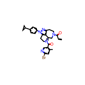 C=CC(=O)N1CCc2nn(-c3ccc(C4CC4)cc3)c3c2[C@H](C1)N(C(=O)c1cnc(Br)cc1C)CC3